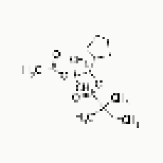 CCC(C)(C)C(=O)OC(C1CCCC1)C(C)(C)OC(C)=O